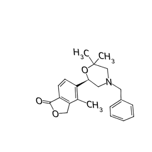 Cc1c([C@@H]2CN(Cc3ccccc3)CC(C)(C)O2)ccc2c1COC2=O